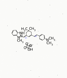 CN(C)c1ccc(/C=C/C2=CC(=C/N3Nc4ccccc4N3C)/CC(C)(C)C2)cc1.[O-][Cl+3]([O-])([O-])O